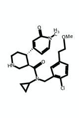 COCCc1ccc(Cl)c(CN(C(=O)[C@H]2CNCC[C@@H]2c2ccn(C)c(=O)c2)C2CC2)c1